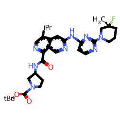 CC(C)c1cnc(C(=O)NC2CCN(C(=O)OC(C)(C)C)C2)c2cnc(Nc3ccnc(N4CCC[C@@](C)(F)C4)n3)cc12